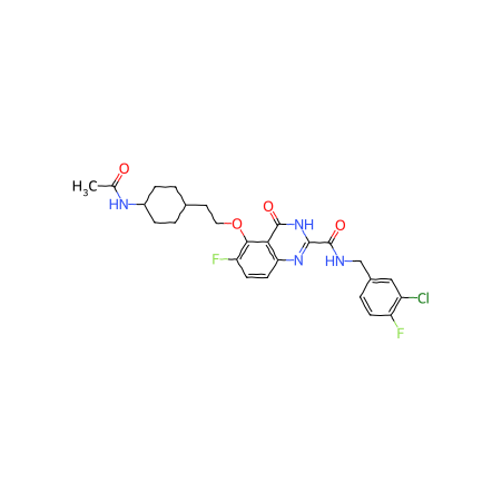 CC(=O)NC1CCC(CCOc2c(F)ccc3nc(C(=O)NCc4ccc(F)c(Cl)c4)[nH]c(=O)c23)CC1